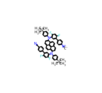 [C-]#[N+]c1ccc(-c2cc(N(c3ccc([Si](C)(C)C)cc3)c3ccc4ccc5c(N(c6ccc([Si](C)(C)C)cc6)c6cc(-c7ccc(C#N)cc7)c(F)cc6F)ccc6ccc3c4c65)c(F)cc2F)cc1